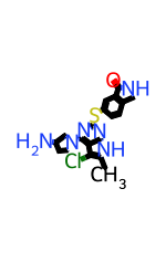 CCc1[nH]c2nc(Sc3ccc4c(c3)C(=O)NC4)nc(N3CCC(N)C3)c2c1Cl